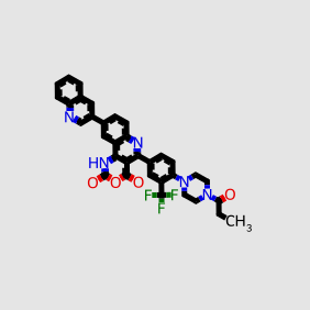 CCC(=O)N1CCN(c2ccc(-c3nc4ccc(-c5cnc6ccccc6c5)cc4c4[nH]c(=O)oc(=O)c34)cc2C(F)(F)F)CC1